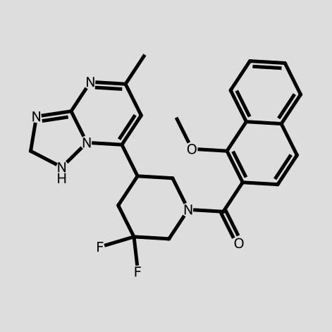 COc1c(C(=O)N2CC(C3=CC(C)=NC4=NCNN34)CC(F)(F)C2)ccc2ccccc12